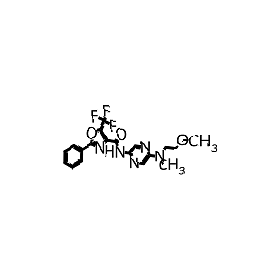 COCCN(C)c1cnc(NC(=O)c2nc(-c3ccccc3)oc2C(F)(F)F)cn1